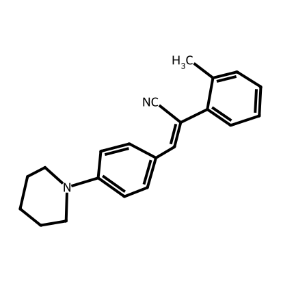 Cc1ccccc1/C(C#N)=C/c1ccc(N2CCCCC2)cc1